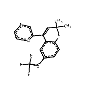 CC1(C)C=C(c2cnccn2)c2cc(SC(F)(F)F)ccc2O1